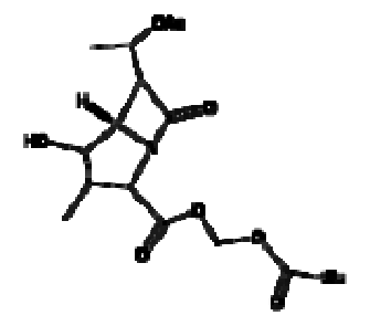 CC(=O)OC(C)C1C(=O)N2C(C(=O)OCOC(=O)C(C)(C)C)C(C)C(O)[C@H]12